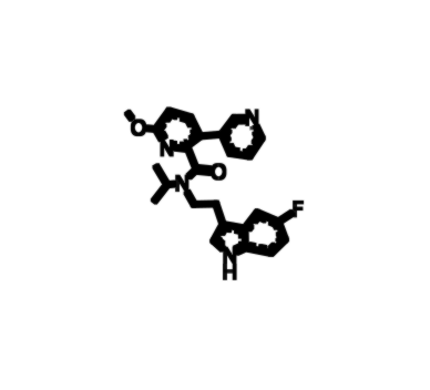 COc1ccc(-c2cccnc2)c(C(=O)N(CCc2c[nH]c3ccc(F)cc23)C(C)C)n1